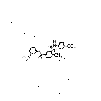 Cc1ccc(C(=O)Nc2cccc([N+](=O)[O-])c2)cc1S(=O)(=O)Nc1ccc(C(=O)O)cc1